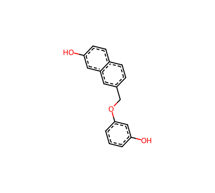 Oc1cccc(OCc2ccc3ccc(O)cc3c2)c1